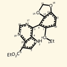 CCOC(=O)c1c[nH]c2c(-c3c(OCC)ccc4c3OCO4)ncnc12